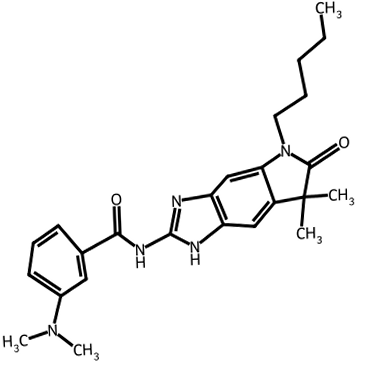 CCCCCN1C(=O)C(C)(C)c2cc3[nH]c(NC(=O)c4cccc(N(C)C)c4)nc3cc21